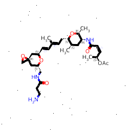 CC(=O)O[C@@H](C)/C=C\C(=O)N[C@@H]1C[C@H](C)[C@H](C/C=C(C)/C=C/[C@@H]2C[C@]3(CO3)C[C@@H](CNC(=O)CCN)O2)O[C@@H]1C